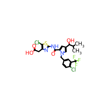 CC(C)C(O)c1cc(C(=O)Nc2nc(CC(=O)O)c(Cl)s2)n(Cc2ccc(Cl)c(C(F)(F)F)c2)c1